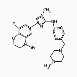 CC(C)N1CCOc2c(F)cc(-c3cn(C)c(Nc4ccc(CN5CCN(C)CC5)cn4)n3)cc21